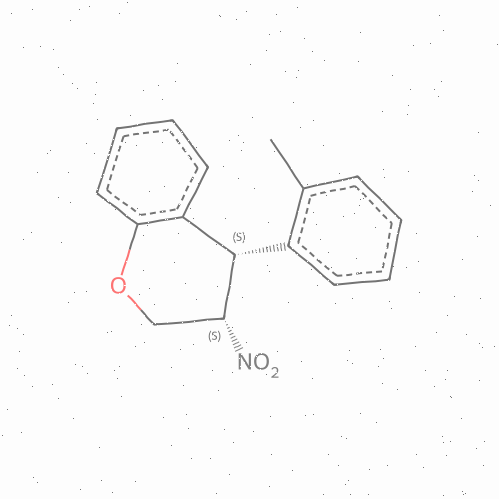 Cc1ccccc1[C@H]1c2ccccc2OC[C@H]1[N+](=O)[O-]